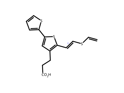 C=CS/C=C/c1sc(-c2cccs2)cc1CCC(=O)O